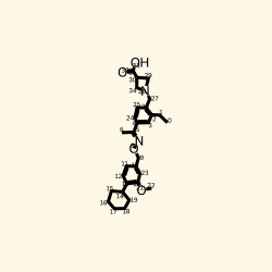 CCc1cc(C(C)=NOCc2ccc(C3CCCCC3)c(OC)c2)ccc1CN1CC(C(=O)O)C1